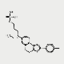 Cc1ccc(-c2nc3c(s2)-c2ccc([C@H](CN)CCCOP(=O)(O)O)cc2CC3)cc1